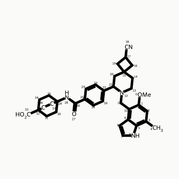 COc1cc(C)c2[nH]ccc2c1CN1CCC2(CC(C#N)C2)CC1c1ccc(C(=O)NC23CCC(C(=O)O)(CC2)CC3)cc1